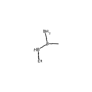 BB(C)BCC